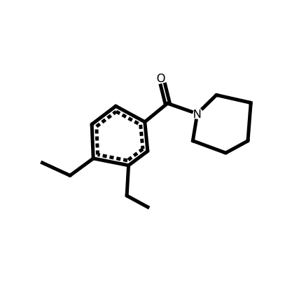 CCc1ccc(C(=O)N2CCCCC2)cc1CC